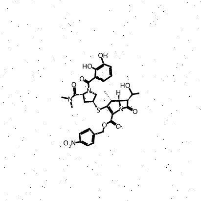 CC(O)[C@H]1C(=O)N2C(C(=O)OCc3ccc([N+](=O)[O-])cc3)=C(S[C@H]3C[C@@H](C(=O)N(C)C)N(C(=O)c4cccc(O)c4O)C3)[C@H](C)[C@H]12